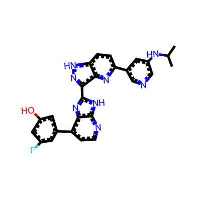 CC(C)Nc1cncc(-c2ccc3[nH]nc(-c4nc5c(-c6cc(O)cc(F)c6)ccnc5[nH]4)c3n2)c1